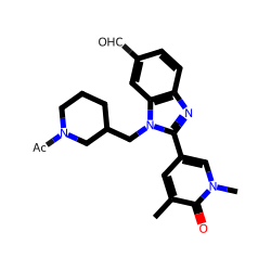 CC(=O)N1CCCC(Cn2c(-c3cc(C)c(=O)n(C)c3)nc3ccc(C=O)cc32)C1